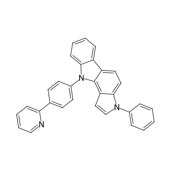 c1ccc(-n2ccc3c2ccc2c4ccccc4n(-c4ccc(-c5ccccn5)cc4)c23)cc1